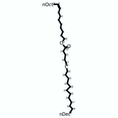 CCCCCCCC/C=C\CCCCCCCCOC(=O)CCCCCCCCCCCCCCCCCCCCCCCCCC